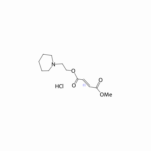 COC(=O)/C=C/C(=O)OCCN1CCCCC1.Cl